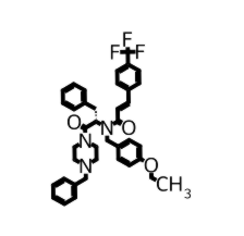 CCOc1ccc(CN(C(=O)C=Cc2ccc(C(F)(F)F)cc2)[C@@H](Cc2ccccc2)C(=O)N2CCN(Cc3ccccc3)CC2)cc1